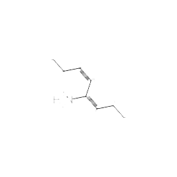 CC/C=C\C(N)=C/CC